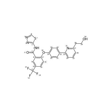 O=C(Nc1nncs1)c1cc(C(F)(F)F)ccc1Oc1ccc(-c2cccc(CCO)n2)cc1